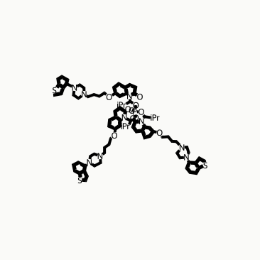 CC(C)C(OP(=O)(OC(C(C)C)n1c(=O)ccc2ccc(OCCCCN3CCN(c4cccc5sccc45)CC3)cc21)OC(C(C)C)n1c(=O)ccc2ccc(OCCCCN3CCN(c4cccc5sccc45)CC3)cc21)n1c(=O)ccc2ccc(OCCCCN3CCN(c4cccc5sccc45)CC3)cc21